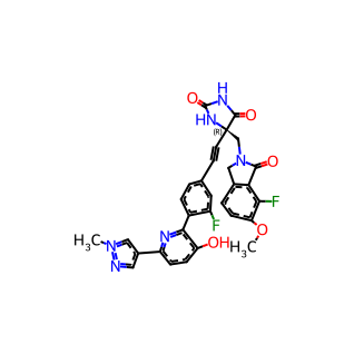 COc1ccc2c(c1F)C(=O)N(C[C@@]1(C#Cc3ccc(-c4nc(-c5cnn(C)c5)ccc4O)c(F)c3)NC(=O)NC1=O)C2